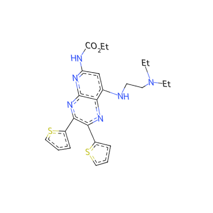 CCOC(=O)Nc1cc(NCCN(CC)CC)c2nc(-c3cccs3)c(-c3cccs3)nc2n1